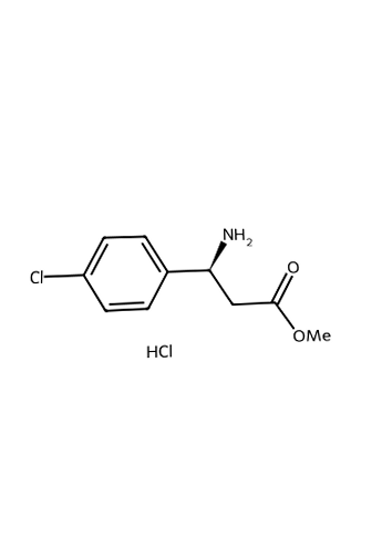 COC(=O)C[C@H](N)c1ccc(Cl)cc1.Cl